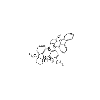 Cc1cc2c3c(c1)N1c4c(cccc4C4(C)CCCCC14C)B3c1ccc(Cl)cc1N2c1cccc2c1oc1ccccc12